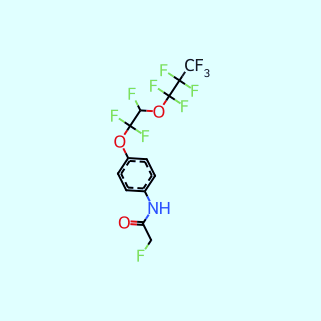 O=C(CF)Nc1ccc(OC(F)(F)C(F)OC(F)(F)C(F)(F)C(F)(F)F)cc1